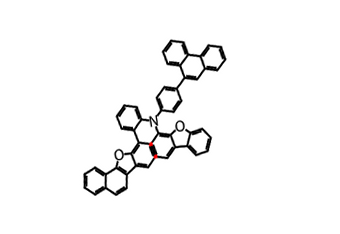 c1ccc(N(c2ccc(-c3cc4ccccc4c4ccccc34)cc2)c2cccc3c2oc2ccccc23)c(-c2cccc3c2oc2c4ccccc4ccc32)c1